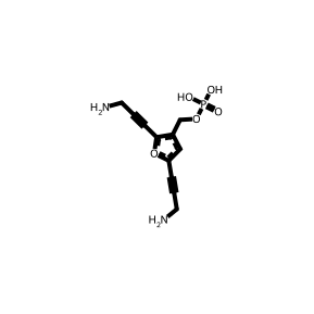 NCC#Cc1cc(COP(=O)(O)O)c(C#CCN)o1